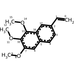 C=Cc1ccc2cc(OC)c(OC)c(OC)c2c1